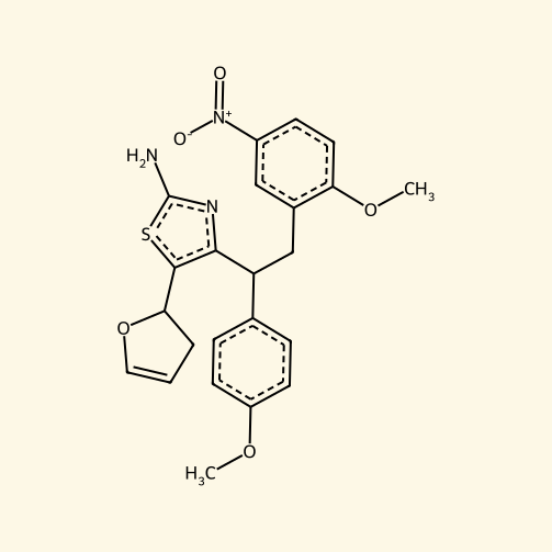 COc1ccc(C(Cc2cc([N+](=O)[O-])ccc2OC)c2nc(N)sc2C2CC=CO2)cc1